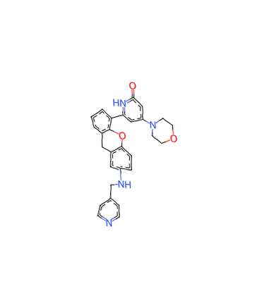 O=c1cc(N2CCOCC2)cc(-c2cccc3c2Oc2ccc(NCc4ccncc4)cc2C3)[nH]1